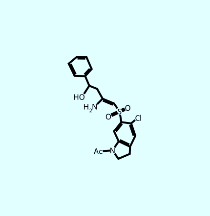 CC(=O)N1CCc2cc(Cl)c(S(=O)(=O)/C=C(\N)CC(O)c3ccccc3)cc21